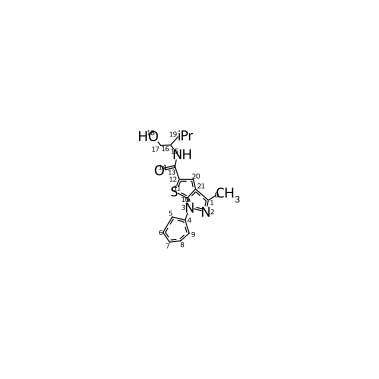 Cc1nn(-c2ccccc2)c2sc(C(=O)NC(CO)C(C)C)cc12